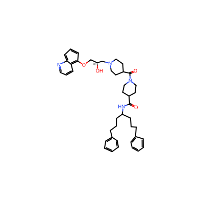 O=C(NC(CCCc1ccccc1)CCCc1ccccc1)C1CCN(C(=O)C2CCN(C[C@@H](O)COc3cccc4ncccc34)CC2)CC1